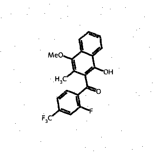 COc1c(C)c(C(=O)c2ccc(C(F)(F)F)cc2F)c(O)c2ccccc12